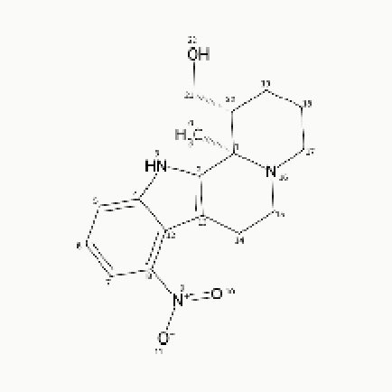 C[C@@]12c3[nH]c4cccc([N+](=O)[O-])c4c3CCN1CCC[C@H]2CO